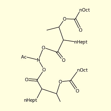 CCCCCCCCC(=O)OC(C)C(CCCCCCC)C(=O)ON(OC(=O)C(CCCCCCC)C(C)OC(=O)CCCCCCCC)C(C)=O